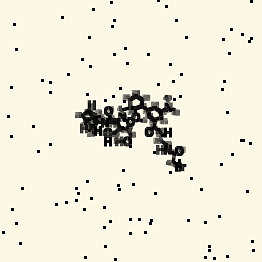 COc1c(CN2O[C@@H](CO)[C@@H]([C@H](C)O)[C@H]2C(=O)NC2C[C@H]3C[C@@H]([C@@H]2C)C3(C)C)cccc1-c1cc(C(=O)NCCNC(=O)CBr)cc(N(C)C)c1